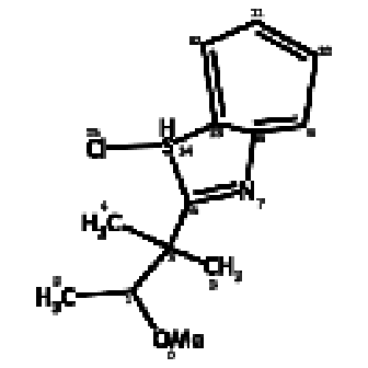 COC(C)C(C)(C)C1=Nc2ccccc2[SH]1Cl